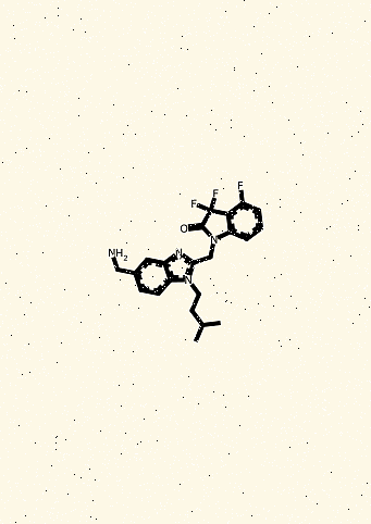 CC(C)CCn1c(CN2C(=O)C(F)(F)c3c(F)cccc32)nc2cc(CN)ccc21